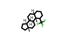 C[C@@]12CCC[C@H]1[C@@H]1CC[C@@H]3CCCC(C(F)(F)F)[C@]3(C)[C@H]1CC2